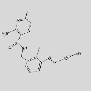 CCCC#CCOc1cccc(CNC(=O)c2ccc(C)nc2N)c1F